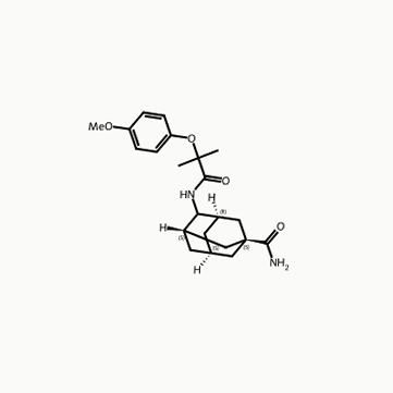 COc1ccc(OC(C)(C)C(=O)NC2[C@@H]3C[C@@H]4C[C@H]2C[C@@](C(N)=O)(C4)C3)cc1